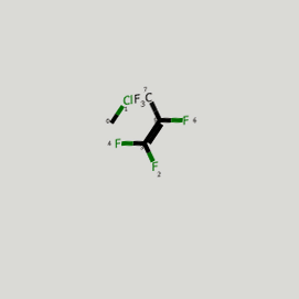 CCl.FC(F)=C(F)C(F)(F)F